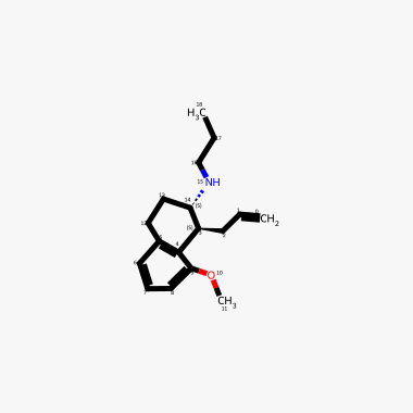 C=CC[C@H]1c2c(cccc2OC)CC[C@@H]1NCCC